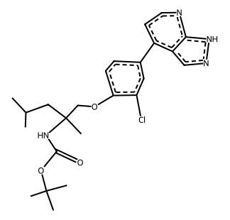 CC(C)CC(C)(COc1ccc(-c2ccnc3[nH]ncc23)cc1Cl)NC(=O)OC(C)(C)C